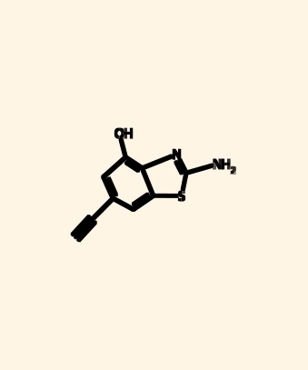 C#Cc1cc(O)c2nc(N)sc2c1